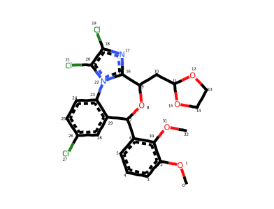 COc1cccc(C2OC(CC3OCCO3)c3nc(Cl)c(Cl)n3-c3ccc(Cl)cc32)c1OC